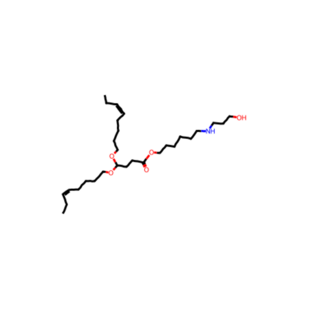 CC/C=C\CCCCOC(CCC(=O)OCCCCCCNCCCO)OCCCC/C=C\CC